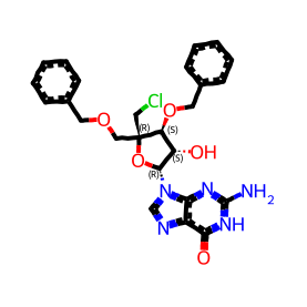 Nc1nc2c(ncn2[C@@H]2O[C@](CCl)(COCc3ccccc3)[C@@H](OCc3ccccc3)[C@@H]2O)c(=O)[nH]1